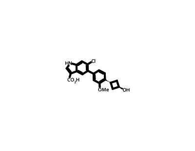 COc1cc(-c2cc3c(C(=O)O)c[nH]c3cc2Cl)ccc1[C@H]1C[C@H](O)C1